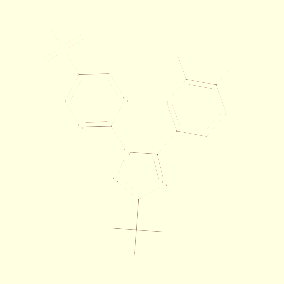 Cc1ccc(-c2nc(C(F)(F)F)nn2-c2ncc(S(C)(=O)=O)cn2)cc1F